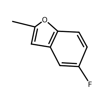 Cc1cc2cc(F)ccc2o1